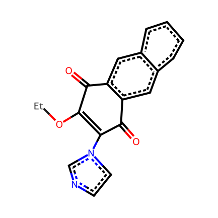 CCOC1=C(n2ccnc2)C(=O)c2cc3ccccc3cc2C1=O